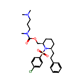 CN(C)CCCN(C)C(=O)OC[C@H]1CCC[C@@H](CCc2ccccc2)N1S(=O)(=O)c1ccc(Cl)cc1